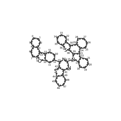 c1ccc2c(c1)ccc1oc3cc(-c4nc(-n5c6ccccc6c6c7ccccc7c7c8ccccc8sc7c65)nc5c4sc4ccccc45)ccc3c12